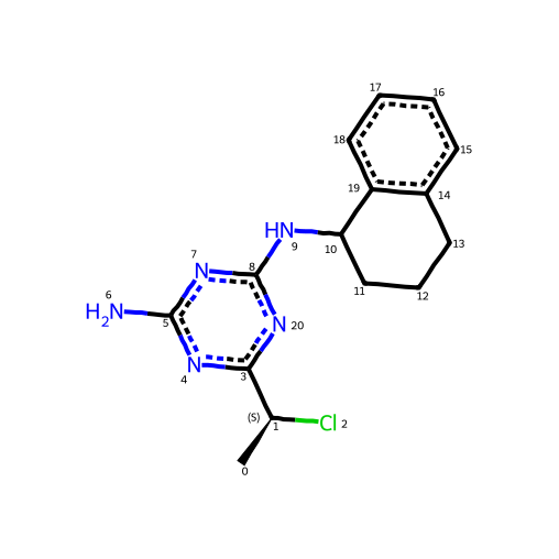 C[C@H](Cl)c1nc(N)nc(NC2CCCc3ccccc32)n1